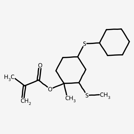 C=C(C)C(=O)OC1(C)CCC(SC2CCCCC2)CC1SC